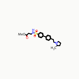 COC(=O)CCNS(=O)(=O)c1ccc(-c2ccc(CCN3CCC[C@H]3C)cc2)cc1